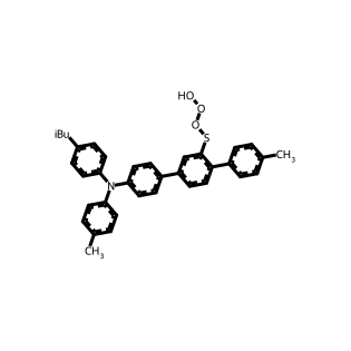 CCC(C)c1ccc(N(c2ccc(C)cc2)c2ccc(-c3ccc(-c4ccc(C)cc4)c(SOOO)c3)cc2)cc1